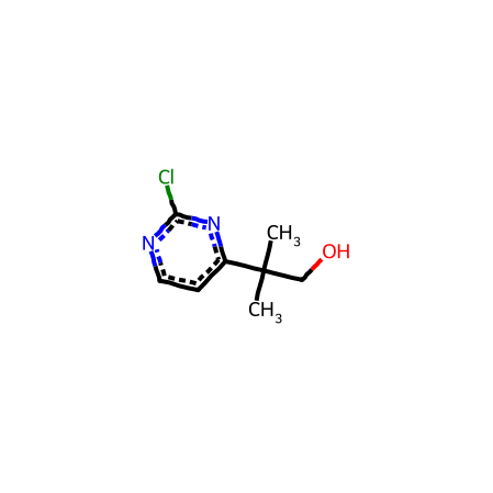 CC(C)(CO)c1ccnc(Cl)n1